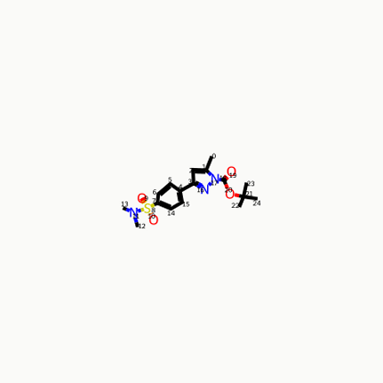 Cc1cc(-c2ccc(S(=O)(=O)N(C)C)cc2)nn1C(=O)OC(C)(C)C